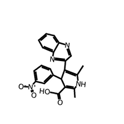 CC1=C(C(=O)O)C(c2cccc([N+](=O)[O-])c2)C(c2cnc3ccccc3n2)=C(C)N1